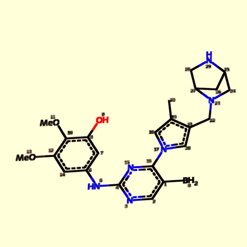 Bc1cnc(Nc2cc(O)c(OC)c(OC)c2)nc1-n1cc(C)c(CN2CC3CC2CN3)c1